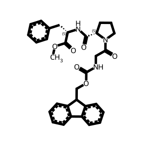 COC(=O)[C@H](Cc1ccccc1)NC(=O)[C@@H]1CCCN1C(=O)CNC(=O)OCC1c2ccccc2-c2ccccc21